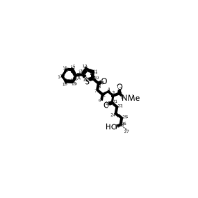 CNC(=O)C(CC(C)CC(=O)c1ccc(C2=CCCC=C2)s1)C(=O)CCC[C@H](C)O